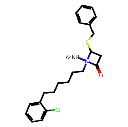 CC(=O)N[N+]1(CCCCCCc2ccccc2Cl)C(=O)CC1SCc1ccccc1